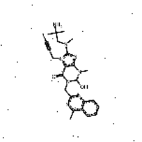 CC#CCn1c(N(C)CC(C)(C)N)nc2c1C(=O)N(Cc1nc(C)c3ccccc3n1)C(O)N2C